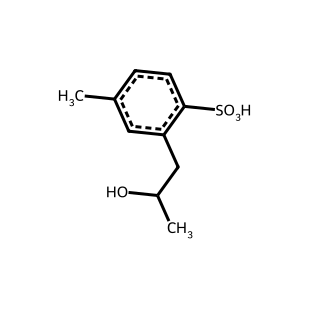 Cc1ccc(S(=O)(=O)O)c(CC(C)O)c1